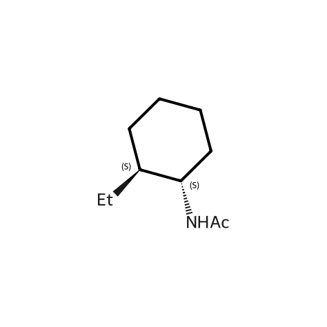 CC[C@H]1CCCC[C@@H]1NC(C)=O